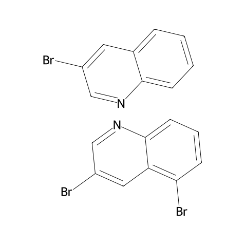 Brc1cnc2cccc(Br)c2c1.Brc1cnc2ccccc2c1